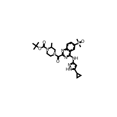 CC1CN(C(=O)c2nc(Nc3cc(C4CC4)[nH]n3)c3cc(P(C)(C)=O)ccc3n2)CCN1C(=O)OC(C)(C)C